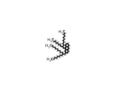 CCCCCCCCCCC(CCCCCCCC)Cc1ccc2cc3ccccc3c(CC(CCCCCCCC)CCCCCCCCCC)c2c1